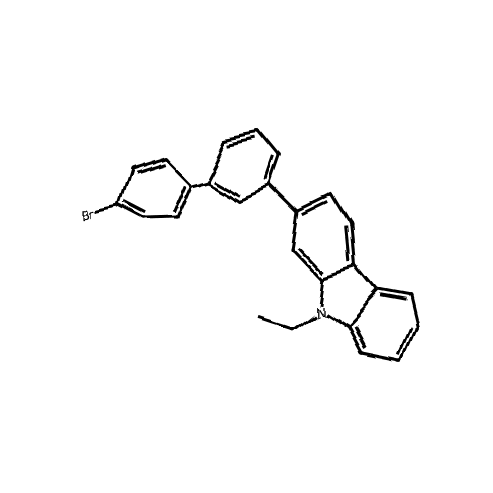 CCn1c2ccccc2c2ccc(-c3cccc(-c4ccc(Br)cc4)c3)cc21